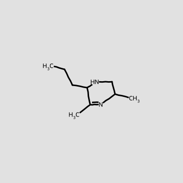 CCCC1NCC(C)N=C1C